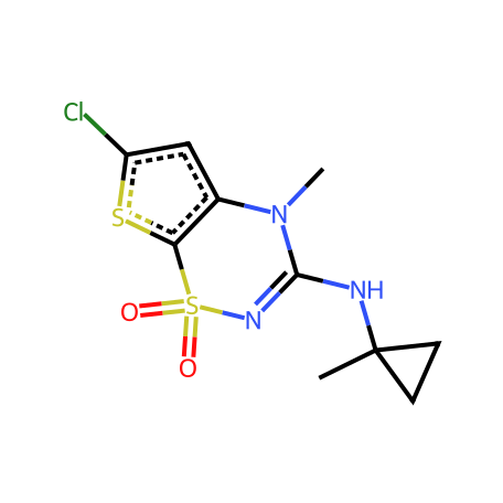 CN1C(NC2(C)CC2)=NS(=O)(=O)c2sc(Cl)cc21